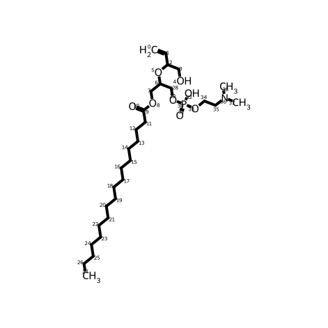 C=CC(CO)OC(COC(=O)CCCCCCCCCCCCCCCCC)COP(=O)(O)OCCN(C)C